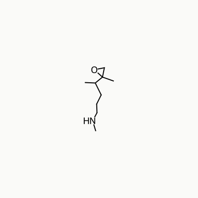 CNCCCC(C)C1(C)CO1